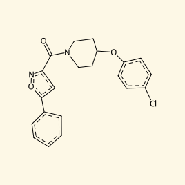 O=C(c1cc(-c2ccccc2)on1)N1CCC(Oc2ccc(Cl)cc2)CC1